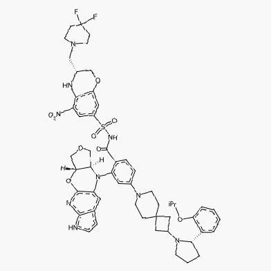 CC(C)Oc1ccccc1[C@@H]1CCCN1C1CC2(CCN(c3ccc(C(=O)NS(=O)(=O)c4cc5c(c([N+](=O)[O-])c4)N[C@H](CN4CCC(F)(F)CC4)CO5)c(N4c5cc6cc[nH]c6nc5O[C@@H]5COC[C@H]54)c3)CC2)C1